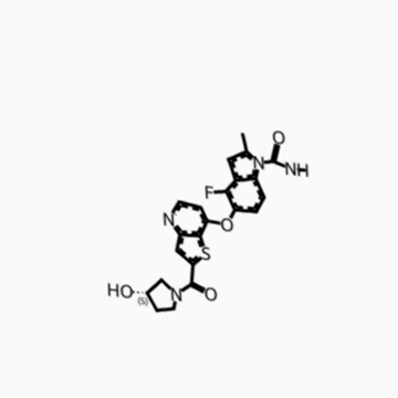 CNC(=O)n1c(C)cc2c(F)c(Oc3ccnc4cc(C(=O)N5CC[C@H](O)C5)sc34)ccc21